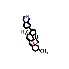 CC1CCC2=CC3=CCC4(C)C(c5ccc6ccncc6c5)CC[C@H]4[C@@]34CC[C@]2(C1)O4